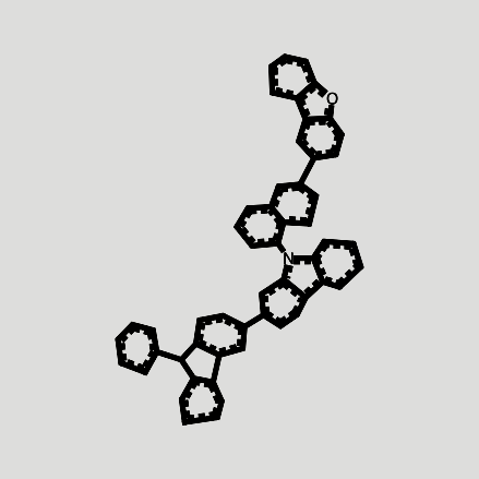 c1ccc(C2c3ccccc3-c3cc(-c4ccc5c6ccccc6n(-c6cccc7cc(-c8ccc9oc%10ccccc%10c9c8)ccc67)c5c4)ccc32)cc1